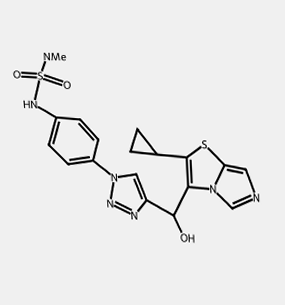 CNS(=O)(=O)Nc1ccc(-n2cc(C(O)c3c(C4CC4)sc4cncn34)nn2)cc1